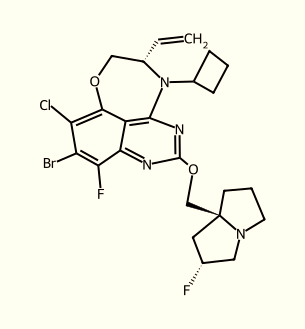 C=C[C@H]1COc2c(Cl)c(Br)c(F)c3nc(OC[C@@]45CCCN4C[C@H](F)C5)nc(c23)N1C1CCC1